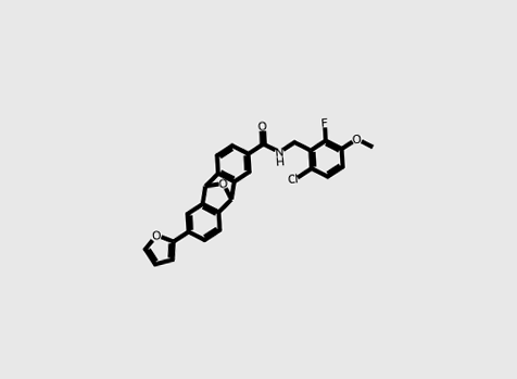 COc1ccc(Cl)c(CNC(=O)c2ccc3c(c2)C2OC3c3cc(-c4ccco4)ccc32)c1F